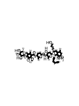 C#C/C=C\C#C[C@H](OC1CC(O)[C@H](NOC2CC[C@H](SC(=O)c3c(C)c(C)c(OC4O[C@@H](C)C(O)[C@@H](OC)[C@H]4O)c(OC)c3OC)C(C)O2)C(C)O1)C1=C(N)C(=O)CC(C)/C1=C/CSSCCO